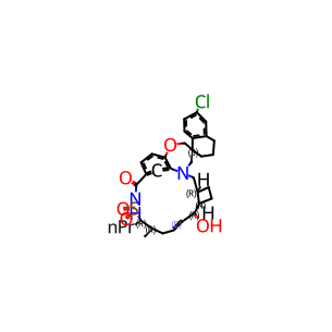 CCC[C@@H]1[C@H](C)C/C=C/[C@H](O)[C@@H]2CC[C@H]2CN2C[C@@]3(CCCc4cc(Cl)ccc43)COc3ccc(cc32)C(=O)NS1(=O)=O